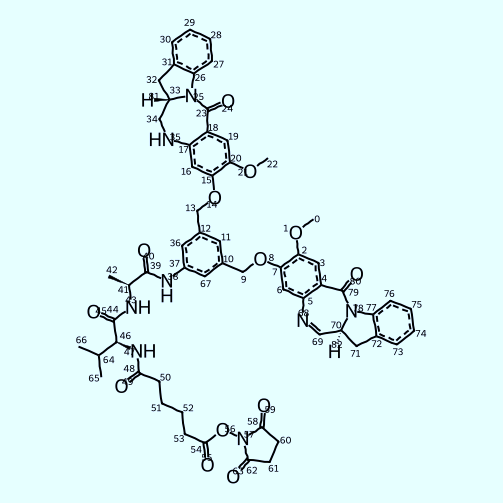 COc1cc2c(cc1OCc1cc(COc3cc4c(cc3OC)C(=O)N3c5ccccc5C[C@H]3CN4)cc(NC(=O)[C@H](C)NC(=O)[C@@H](NC(=O)CCCCC(=O)ON3C(=O)CCC3=O)C(C)C)c1)N=C[C@@H]1Cc3ccccc3N1C2=O